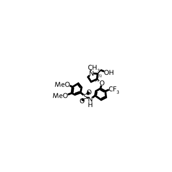 COc1ccc(S(=O)(=O)Nc2ccc(C(F)(F)F)c(O[C@@H]3CCN(C)[C@H]3CO)c2)cc1OC